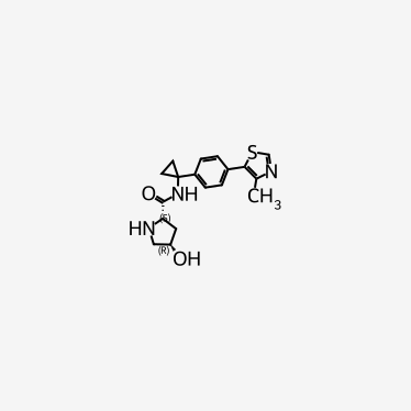 Cc1ncsc1-c1ccc(C2(NC(=O)[C@@H]3C[C@@H](O)CN3)CC2)cc1